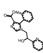 COC(=O)c1ncn(CC(O)c2ccccn2)c1-c1ccccc1